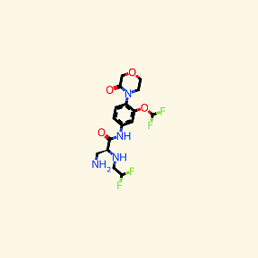 NC[C@H](NCC(F)F)C(=O)Nc1ccc(N2CCOCC2=O)c(OC(F)F)c1